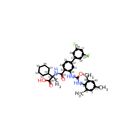 Cc1cc(C)c(NC(=O)Nc2cc(-c3cc(F)cc(F)c3)ccc2C(=O)N[C@](C)(C(=O)O)C2CCCCC2)c(C)c1